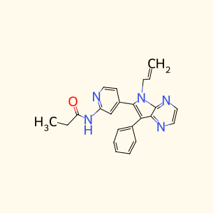 C=CCn1c(-c2ccnc(NC(=O)CC)c2)c(-c2ccccc2)c2nccnc21